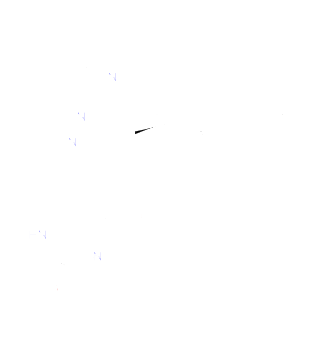 O=c1[nH]cc(-c2cc([C@H]3C[C@@H]3c3cccc4ccccc34)c3nccn3n2)c(=O)[nH]1